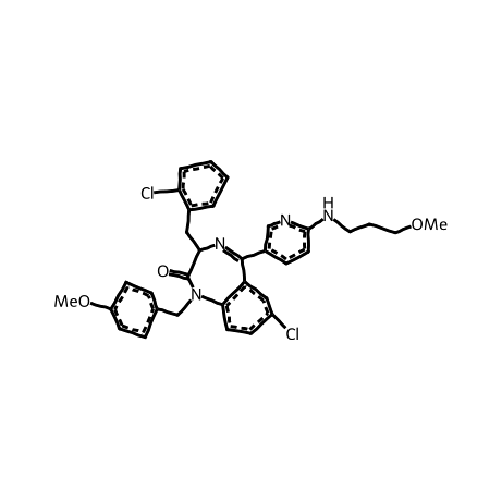 COCCCNc1ccc(C2=NC(Cc3ccccc3Cl)C(=O)N(Cc3ccc(OC)cc3)c3ccc(Cl)cc32)cn1